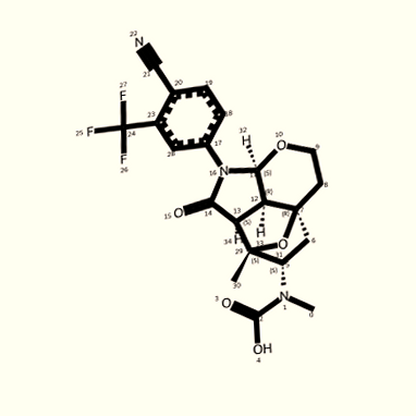 CN(C(=O)O)[C@H]1C[C@@]23CCO[C@H]4[C@@H]2[C@H](C(=O)N4c2ccc(C#N)c(C(F)(F)F)c2)[C@]1(C)O3